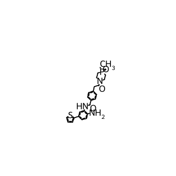 CCP1(=O)CCN(C(=O)Cc2ccc(C(=O)Nc3cc(-c4cccs4)ccc3N)cc2)CC1